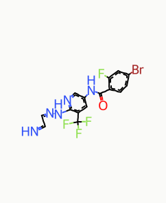 N=C/C=N\Nc1ncc(NC(=O)c2ccc(Br)cc2F)cc1C(F)(F)F